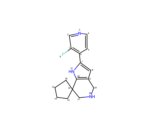 Fc1cnccc1-c1cc2c([nH]1)C1(CCCC1)CNC2